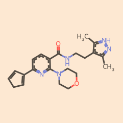 Cc1n[nH]c(C)c1CCNC(=O)c1ccc(C2=CCC=C2)nc1N1CCOCC1